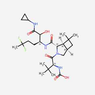 CC(F)(F)CC[C@H](NC(=O)[C@@H]1[C@@H]2[C@H](CN1C(=O)[C@@H](NC(=O)O)C(C)(C)C)CC2(C)C)C(O)C(=O)NC1CC1